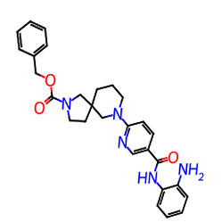 Nc1ccccc1NC(=O)c1ccc(N2CCCC3(CCN(C(=O)OCc4ccccc4)C3)C2)nc1